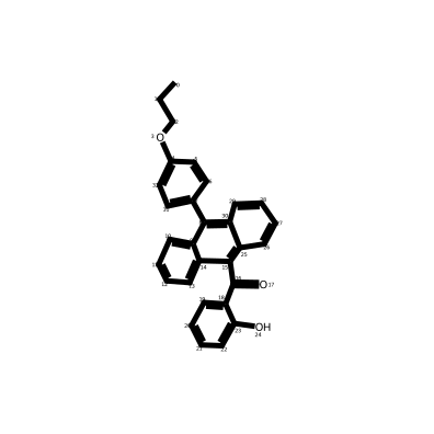 CCCOc1ccc(-c2c3ccccc3c(C(=O)c3ccccc3O)c3ccccc23)cc1